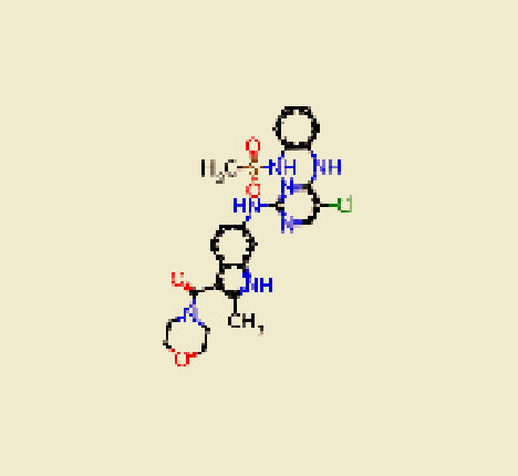 Cc1[nH]c2cc(Nc3ncc(Cl)c(Nc4ccccc4NS(C)(=O)=O)n3)ccc2c1C(=O)N1CCOCC1